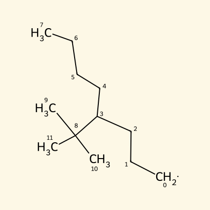 [CH2]CCC(CCCC)C(C)(C)C